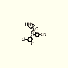 N#Cc1ccc(Oc2cc(Cl)cc(Cl)c2)c(S(=O)(=O)N2CC3CC2CN3)c1